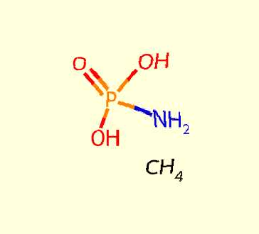 C.NP(=O)(O)O